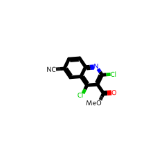 COC(=O)c1c(Cl)nc2ccc(C#N)cc2c1Cl